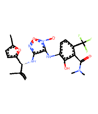 C=C(C)[C@@H](Nc1no[n+]([O-])c1Nc1ccc(C(F)(F)F)c(C(=O)N(C)C)c1O)c1ccc(C)o1